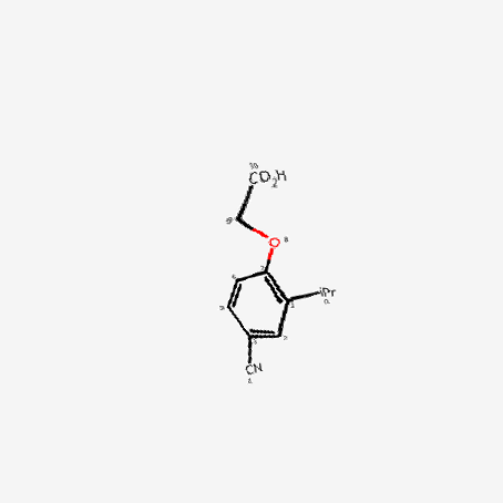 CC(C)c1cc(C#N)ccc1OCC(=O)O